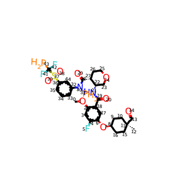 COc1cc(F)c(O[C@H]2CC[C@@](C)(C=O)CC2)cc1C(=O)N[C@H]1COCC[C@H]1C(=O)N(P)c1cccc(S(=O)(=O)C(F)(F)P)c1